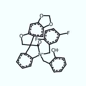 [CH]c1ccccc1C[N+]1(Cc2cc(F)ccc2F)C(=O)C2(COc3cc4c(cc32)OCO4)c2ccccc21